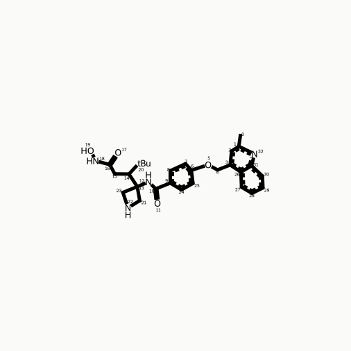 Cc1cc(COc2ccc(C(=O)NC3(C(CC(=O)NO)C(C)(C)C)CNC3)cc2)c2ccccc2n1